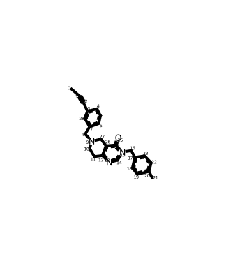 CC#Cc1cccc(CN2CCc3ncn(Cc4ccc(C)cc4)c(=O)c3C2)c1